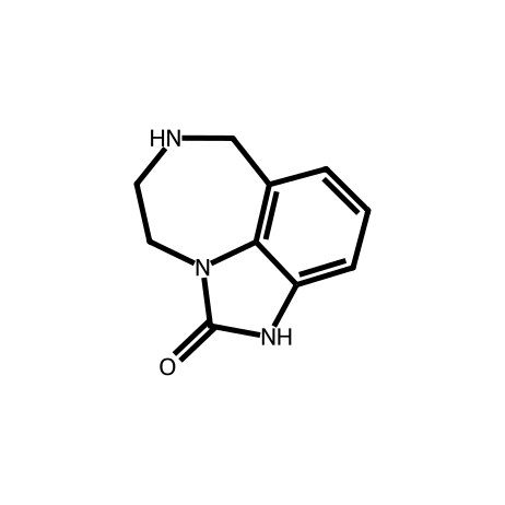 O=c1[nH]c2cccc3c2n1CCNC3